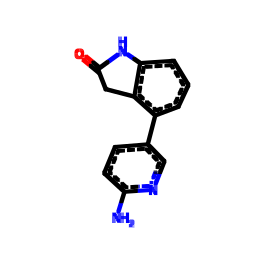 Nc1ccc(-c2cccc3c2CC(=O)N3)cn1